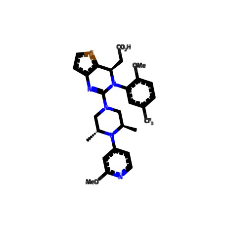 COc1cc(N2[C@H](C)CN(C3=Nc4ccsc4[C@@H](CC(=O)O)N3c3cc(C(F)(F)F)ccc3OC)C[C@H]2C)ccn1